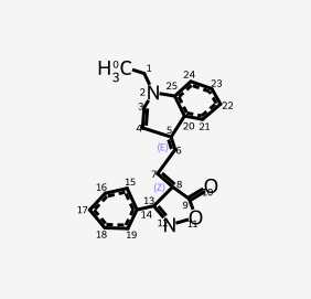 CCN1C=C/C(=C\C=C2/C(=O)ON=C2c2ccccc2)c2ccccc21